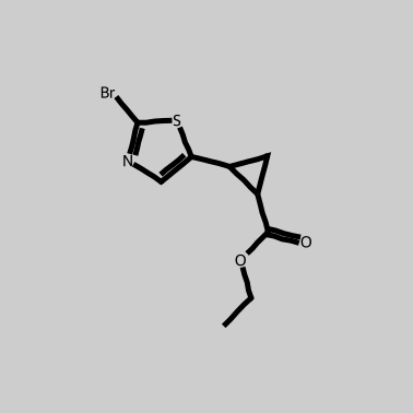 CCOC(=O)C1CC1c1cnc(Br)s1